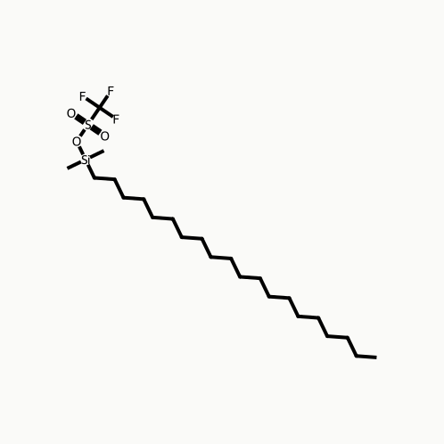 CCCCCCCCCCCCCCCCCCCC[Si](C)(C)OS(=O)(=O)C(F)(F)F